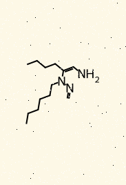 C=NN(CCCCCC)/C(=C\N)CCCC